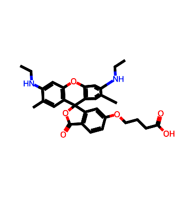 CCNc1cc2c(cc1C)C1(OC(=O)c3ccc(OCCCC(=O)O)cc31)c1cc(C)c(NCC)cc1O2